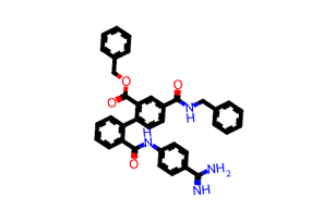 N=C(N)c1ccc(NC(=O)c2ccccc2-c2ccc(C(=O)NCc3ccccc3)cc2C(=O)OCc2ccccc2)cc1